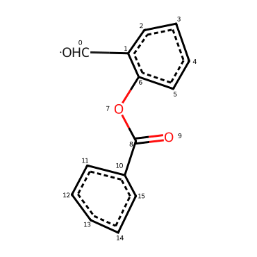 O=[C]c1ccccc1OC(=O)c1ccccc1